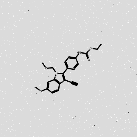 C#Cc1c(-c2ccc(NC(=O)OCC)cc2)n(COC)c2cc(OC)ccc12